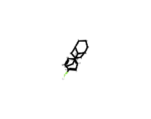 CCC1CC2CCCC(C1)C2c1ccc(F)cc1